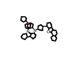 c1ccc(-c2ccc(N(c3ccc(-c4cccc5c4oc4c6ccccc6ccc54)cc3)c3cccc4c5ccccc5n(-c5ccccc5)c34)cc2)cc1